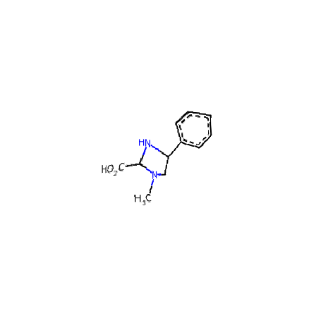 CN1CC(c2ccccc2)NC1C(=O)O